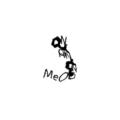 COC(=O)c1ccc(CNCc2cnc3ccccc3c2Cl)cn1